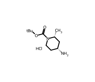 C[C@@H]1C[C@H](N)CCN1C(=O)OC(C)(C)C.Cl